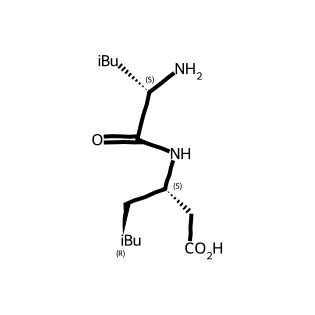 CCC(C)[C@H](N)C(=O)N[C@H](CC(=O)O)C[C@H](C)CC